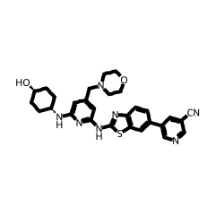 N#Cc1cncc(-c2ccc3nc(Nc4cc(CN5CCOCC5)cc(N[C@H]5CC[C@H](O)CC5)n4)sc3c2)c1